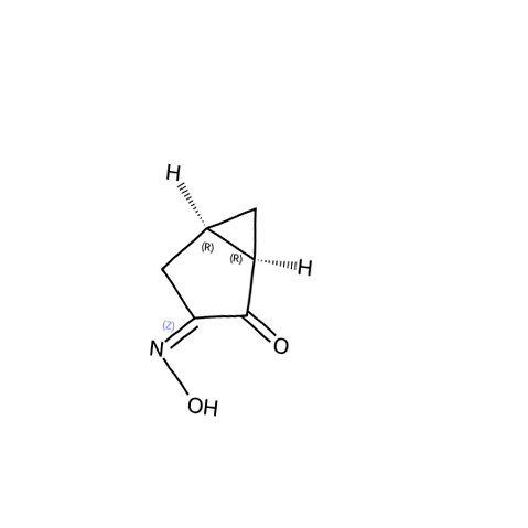 O=C1/C(=N\O)C[C@H]2C[C@@H]12